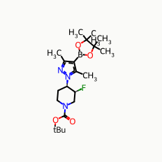 Cc1nn([C@@H]2CCN(C(=O)OC(C)(C)C)C[C@@H]2F)c(C)c1B1OC(C)(C)C(C)(C)O1